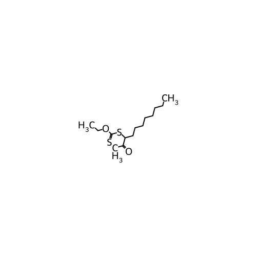 CCCCCCCCC(SC(=S)OCC)C(C)=O